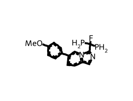 COc1ccc(-c2ccc3cnc(C(F)(P)P)n3c2)cc1